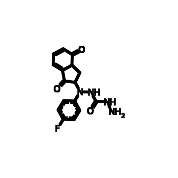 NNC(=O)NN(c1ccc(F)cc1)C1CC2C(=O)C=CC=C2C1=O